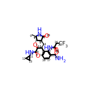 C[C@@H]1C[C@H](C[C@H](C(=O)C(=O)NC2CC2)c2cccc(C(N)=O)c2NC(=O)CC(F)(F)F)C(=O)N1